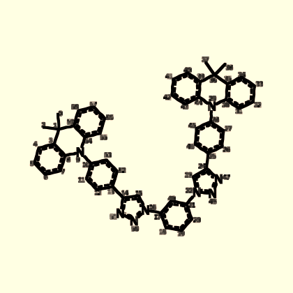 CC1(C)c2ccccc2N(c2ccc(-c3cn(-c4cccc(-n5cc(-c6ccc(N7c8ccccc8C(C)(C)c8ccccc87)cc6)nn5)c4)nn3)cc2)c2ccccc21